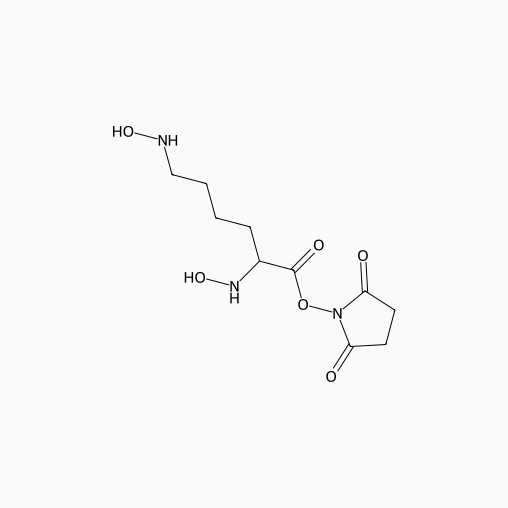 O=C(ON1C(=O)CCC1=O)C(CCCCNO)NO